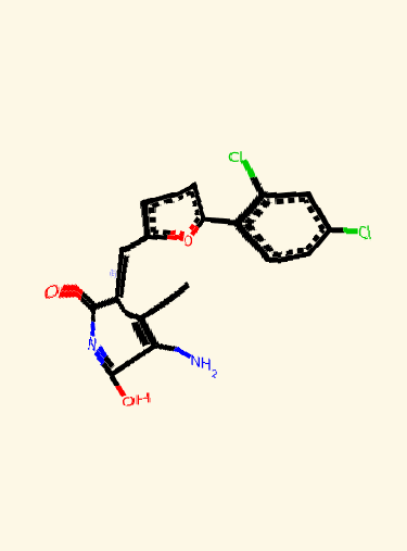 CC1=C(N)C(O)=NC(=O)/C1=C/c1ccc(-c2ccc(Cl)cc2Cl)o1